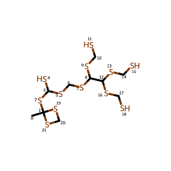 CC1(SC(S)SCSC(SCS)C(SCS)SCS)SCS1